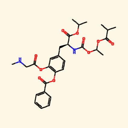 CNCC(=O)Oc1cc(C[C@H](NC(=O)OC(C)OC(=O)C(C)C)C(=O)OC(C)C)ccc1OC(=O)c1ccccc1